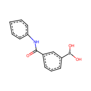 O=C(Nc1ccccc1)c1cccc(B(O)O)c1